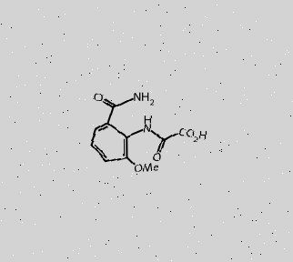 COc1cccc(C(N)=O)c1NC(=O)C(=O)O